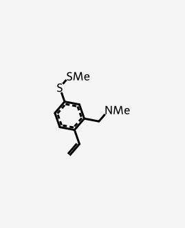 C=Cc1ccc(SSC)cc1CNC